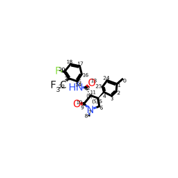 Cc1ccc([C@H]2CN(C)C(=O)[C@@H]2C(=O)Nc2cccc(F)c2C(F)(F)F)cc1